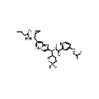 CCCC(=O)N[C@@H](c1cnn2cc([C@@H](NC(=O)c3cc(OCC(F)F)ccn3)C3CCC(F)(F)CC3)nc2c1)C1CC1